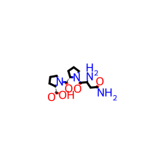 NC(=O)C[C@H](N)C(=O)N1CCC[C@H]1C(=O)N1CCC[C@H]1C(=O)O